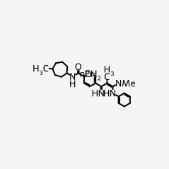 C=C(/C=C\C(=C/CCC)C(=N)/C(C)=C(/NC)NC1=CCCC=C1)C(=O)NC1CCCC(C)CC1